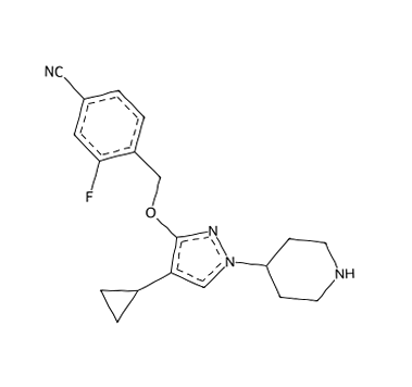 N#Cc1ccc(COc2nn(C3CCNCC3)cc2C2CC2)c(F)c1